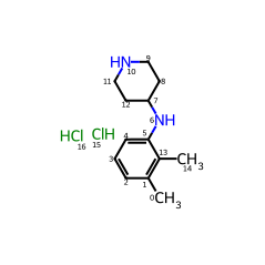 Cc1cccc(NC2CCNCC2)c1C.Cl.Cl